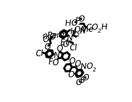 CCCCCOC(=O)COc1cc(N2C(=O)C3=C(CCCC3)C2=O)c(F)cc1Cl.CCc1cccc(C)c1N(C(=O)CCl)C(C)COC.CP(=O)(O)CCC(N)C(=O)O.CS(=O)(=O)c1ccc(C(=O)C2C(=O)CCCC2=O)c([N+](=O)[O-])c1